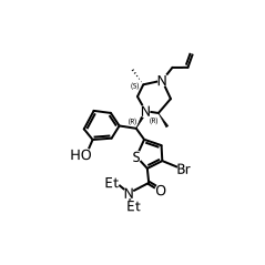 C=CCN1C[C@@H](C)N([C@H](c2cccc(O)c2)c2cc(Br)c(C(=O)N(CC)CC)s2)C[C@@H]1C